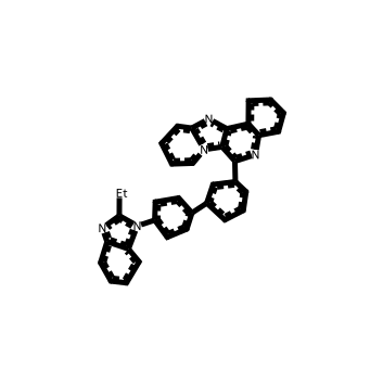 CCc1nc2ccccc2n1-c1ccc(-c2cccc(-c3nc4ccccc4c4nc5ccccn5c34)c2)cc1